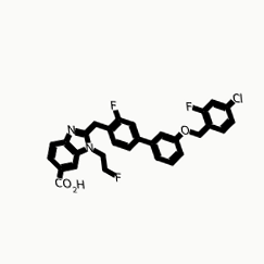 O=C(O)c1ccc2nc(Cc3ccc(-c4cccc(OCc5ccc(Cl)cc5F)c4)cc3F)n(CCF)c2c1